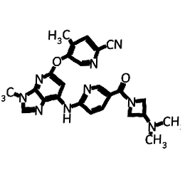 Cc1cc(C#N)ncc1Oc1cc(Nc2ccc(C(=O)N3CC(N(C)C)C3)cn2)c2ncn(C)c2n1